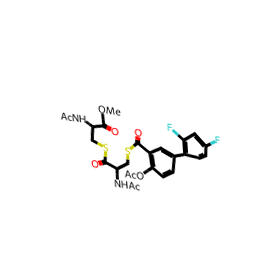 COC(=O)C(CSC(=O)C(CSC(=O)c1cc(-c2ccc(F)cc2F)ccc1OC(C)=O)NC(C)=O)NC(C)=O